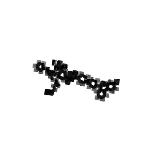 CN(CCO)CC[C@@H](CSc1ccccc1)Nc1ccc(S(=O)(=O)NC(=O)c2ccc(N3CCC([C@@H](O)c4ccccc4-c4ccc(Cl)cc4)CC3)cc2)cc1S(=O)(=O)C(F)(F)F